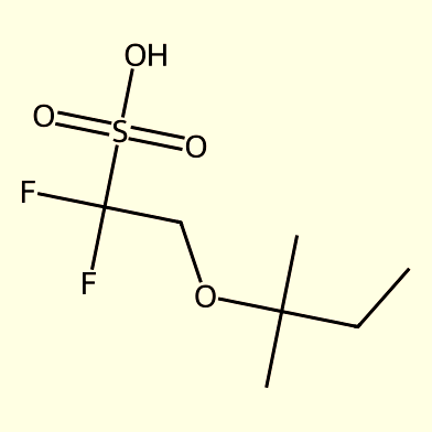 CCC(C)(C)OCC(F)(F)S(=O)(=O)O